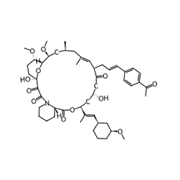 CO[C@H]1CCC[C@@H](/C=C(\C)[C@@H]2C[C@@H](O)CC(=O)C(C/C=C/c3ccc(C(C)=O)cc3)/C=C(\C)C[C@H](C)C[C@H](OC)[C@H]3O[C@@](O)(C(=O)C(=O)N4CCCC[C@H]4C(=O)O2)[C@H](C)C[C@@H]3OC)C1